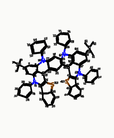 C[Si](C)(C)c1cc2c3c(c1)N(c1ccccc1)c1cc4c(cc1B3C1=C(C3C=CC=CC3S1)N2c1ccccc1)B1c2sc3ccccc3c2N(c2ccccc2)c2cc([Si](C)(C)C)cc(c21)N4c1ccccc1